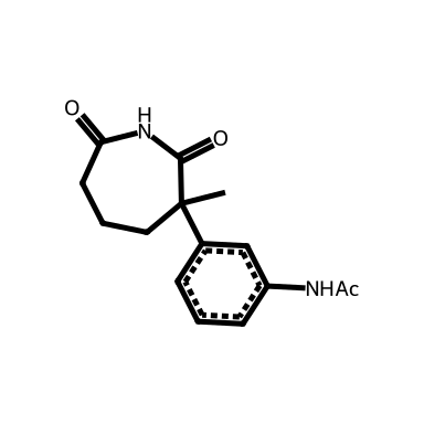 CC(=O)Nc1cccc(C2(C)CCCC(=O)NC2=O)c1